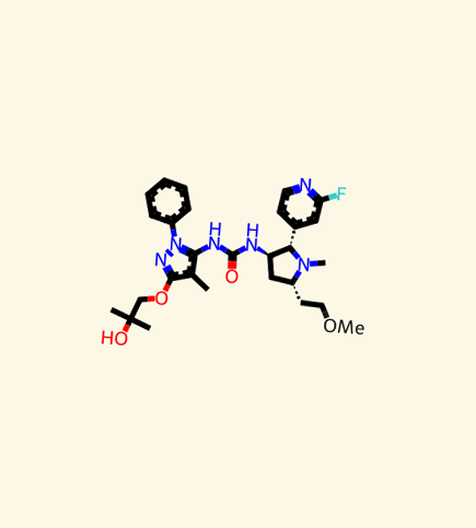 COCC[C@@H]1C[C@@H](NC(=O)Nc2c(C)c(OCC(C)(C)O)nn2-c2ccccc2)[C@H](c2ccnc(F)c2)N1C